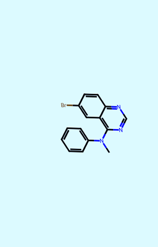 CN(c1ccccc1)c1ncnc2ccc(Br)cc12